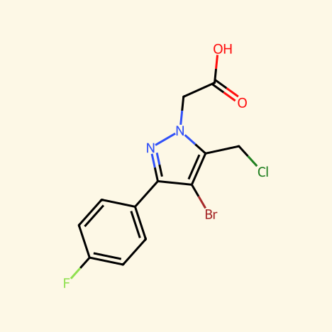 O=C(O)Cn1nc(-c2ccc(F)cc2)c(Br)c1CCl